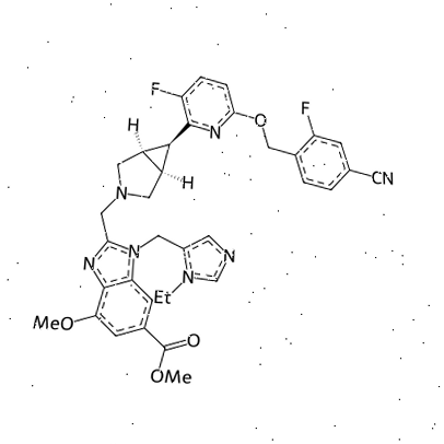 CCn1cncc1Cn1c(CN2C[C@@H]3[C@H](C2)[C@@H]3c2nc(OCc3ccc(C#N)cc3F)ccc2F)nc2c(OC)cc(C(=O)OC)cc21